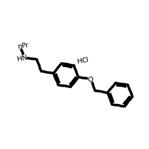 CCCNCCc1ccc(OCc2ccccc2)cc1.Cl